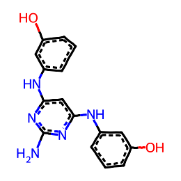 Nc1nc(Nc2cccc(O)c2)cc(Nc2cccc(O)c2)n1